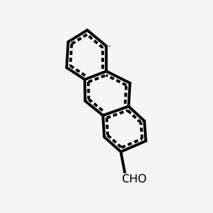 O=Cc1ccc2cc3[c]cccc3cc2c1